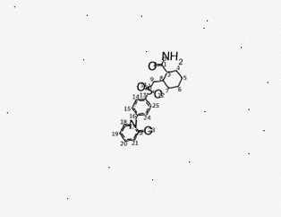 NC(=O)C1CCCCC1CS(=O)(=O)c1ccc(-n2ccccc2=O)cc1